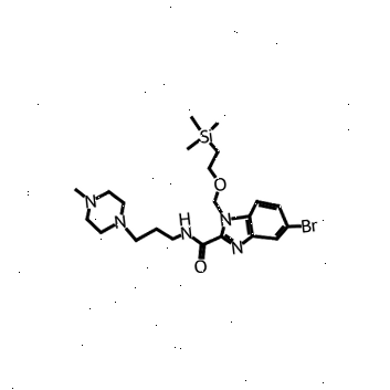 CN1CCN(CCCNC(=O)c2nc3cc(Br)ccc3n2COCC[Si](C)(C)C)CC1